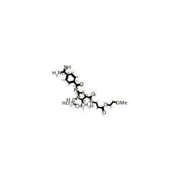 COCCOC(=O)CCNC(=O)C1SC(=NC(=O)c2ccc(C(=N)N)cc2)N(C)C1C.CS(=O)(=O)O